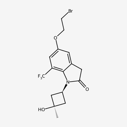 C[C@]1(O)C[C@@H](N2C(=O)Cc3cc(OCCBr)cc(C(F)(F)F)c32)C1